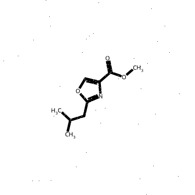 COC(=O)c1coc(CC(C)C)n1